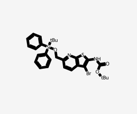 CC(C)(C)OC(=O)Nc1sc2nc(CO[Si](c3ccccc3)(c3ccccc3)C(C)(C)C)ccc2c1Br